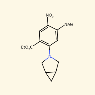 CCOC(=O)c1cc([N+](=O)[O-])c(NC)cc1N1CC2CC2C1